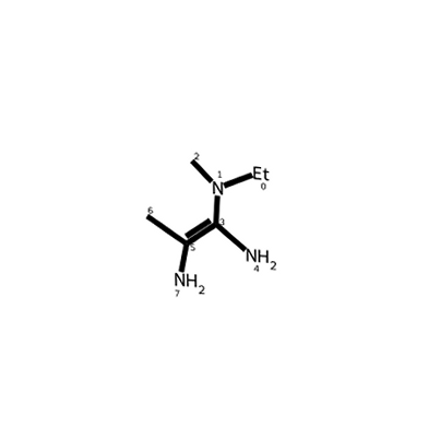 CCN(C)/C(N)=C(\C)N